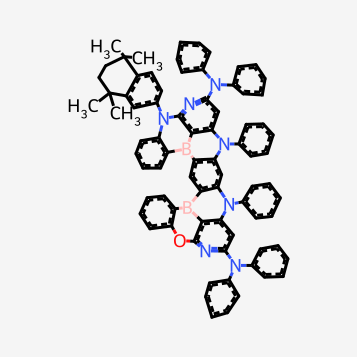 CC1(C)CCC(C)(C)c2cc(N3c4ccccc4B4c5cc6c(cc5N(c5ccccc5)c5cc(N(c7ccccc7)c7ccccc7)nc3c54)N(c3ccccc3)c3cc(N(c4ccccc4)c4ccccc4)nc4c3B6c3ccccc3O4)ccc21